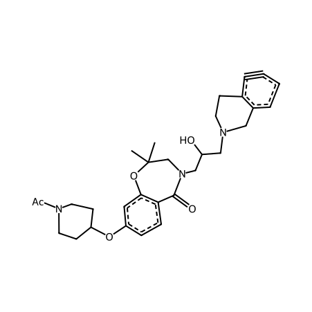 CC(=O)N1CCC(Oc2ccc3c(c2)OC(C)(C)CN(CC(O)CN2CCc4c#cccc4C2)C3=O)CC1